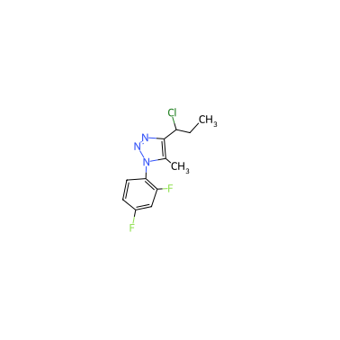 CCC(Cl)c1nnn(-c2ccc(F)cc2F)c1C